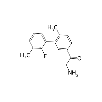 Cc1ccc(C(=O)CN)cc1-c1cccc(C)c1F